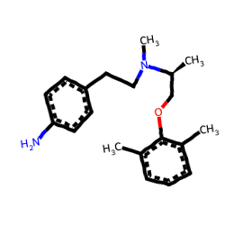 Cc1cccc(C)c1OC[C@H](C)N(C)CCc1ccc(N)cc1